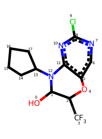 OC1C(C(F)(F)F)Oc2cnc(Cl)nc2N1C1CCCC1